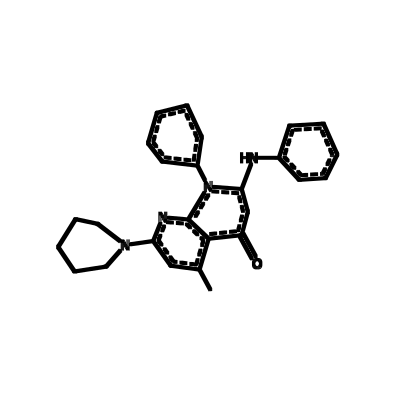 Cc1cc(N2CCCCC2)nc2c1c(=O)cc(Nc1ccccc1)n2-c1ccccc1